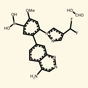 COc1cc(-n2cc(C(F)F)cn2)c(-c2ccc3c(N)cnnc3c2)cc1B(O)O.O=CO